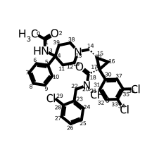 CC(=O)NC1(c2ccccc2)CCN(C[C@@H]2C[C@@]2(C(=O)N(C)Cc2ccccc2Cl)c2ccc(Cl)c(Cl)c2)CC1